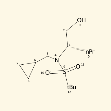 CCC[C@@H](CO)N(CC1CC1)S(=O)(=O)C(C)(C)C